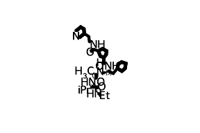 CCNC(=O)[C@@H](NC(=O)[C@H](C)NC[C@H](Cc1ccccc1)NC(=O)c1cccc(C(=O)NCCc2cccnc2)c1)C(C)C